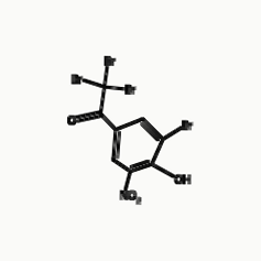 O=C(c1cc(Br)c(O)c([N+](=O)[O-])c1)C(Br)(Br)Br